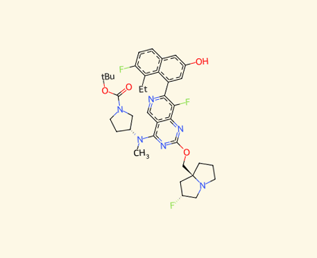 CCc1c(F)ccc2cc(O)cc(-c3ncc4c(N(C)[C@@H]5CCN(C(=O)OC(C)(C)C)C5)nc(OC[C@@]56CCCN5C[C@H](F)C6)nc4c3F)c12